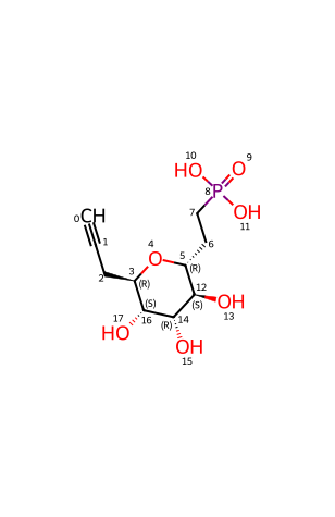 C#CC[C@H]1O[C@H](CCP(=O)(O)O)[C@@H](O)[C@H](O)[C@@H]1O